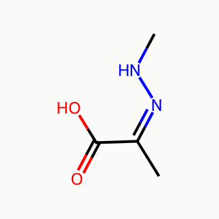 CN/N=C(/C)C(=O)O